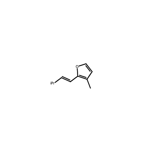 Cc1ccoc1C=CC(C)C